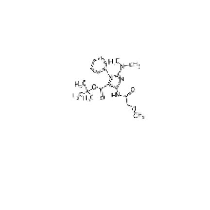 COCC(=O)Nc1nc(N(C)C)n(-c2ccccc2)c1C(=O)OC(C)(C)C